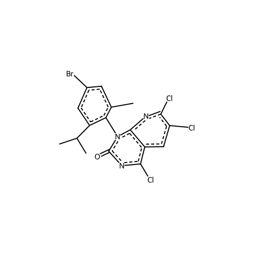 Cc1cc(Br)cc(C(C)C)c1-n1c(=O)nc(Cl)c2cc(Cl)c(Cl)nc21